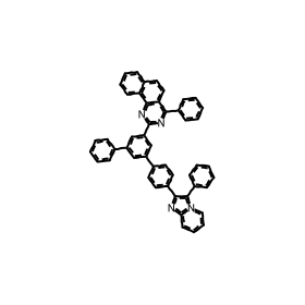 c1ccc(-c2cc(-c3ccc(-c4nc5ccccn5c4-c4ccccc4)cc3)cc(-c3nc(-c4ccccc4)c4ccc5ccccc5c4n3)c2)cc1